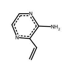 C=Cc1nccnc1N